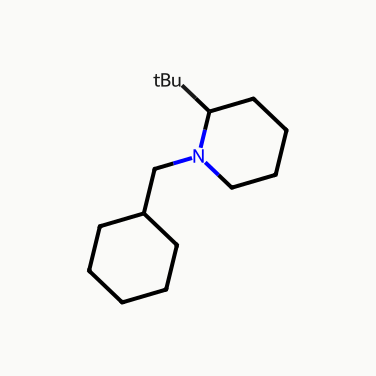 CC(C)(C)C1CCCCN1CC1CCCCC1